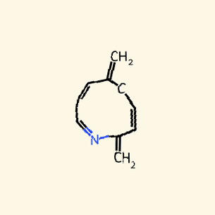 C=C1/C=C\C=N/C(=C)/C=C\C1